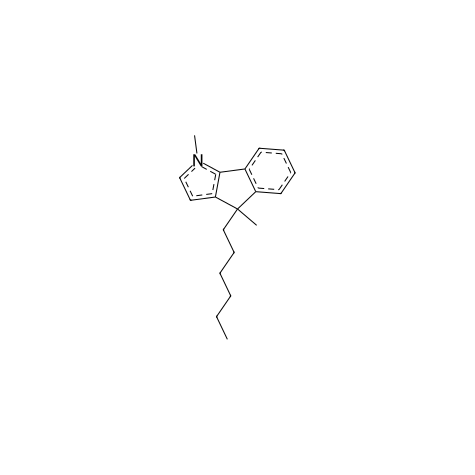 CCCCCCC1(C)c2ccccc2-c2c1ccn2C